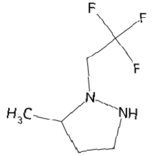 CC1CCNN1CC(F)(F)F